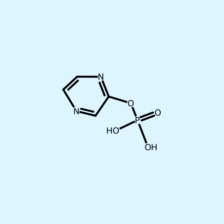 O=P(O)(O)Oc1cnccn1